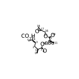 C=C(CC=C(C)C(=O)O)C(=O)OCCCC.C=CC(=O)OCC1CO1